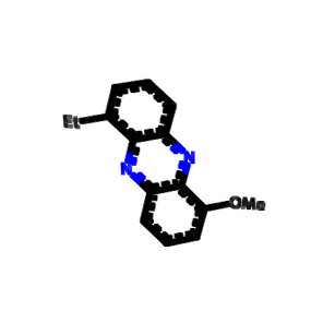 CCc1cccc2nc3c(OC)cccc3nc12